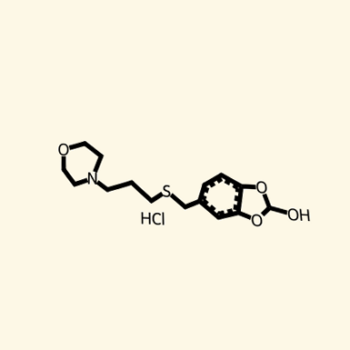 Cl.OC1Oc2ccc(CSCCCN3CCOCC3)cc2O1